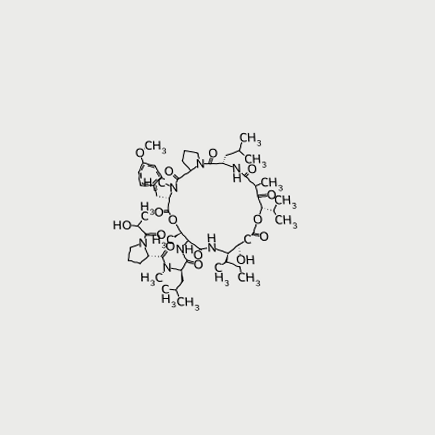 CCC(C)[C@H]1NC(=O)C(NC(=O)[C@@H](CC(C)C)N(C)C(=O)[C@@H]2CCCN2C(=O)C(C)O)[C@@H](C)OC(=O)[C@H](Cc2ccc(OC)cc2)N(C)C(=O)C2CCCN2C(=O)[C@H](CC(C)C)NC(=O)C(C)C(=O)[C@H](C(C)C)OC(=O)C[C@@H]1O